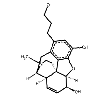 CN1CC[C@]23c4c5c(CCC[O])cc(O)c4O[C@H]2[C@@H](O)C=C[C@H]3[C@H]1C5